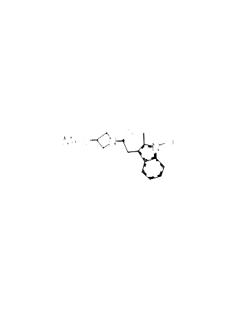 CCn1c(C)c(CC(=O)N2CC(OC)C2)c2ccccc21